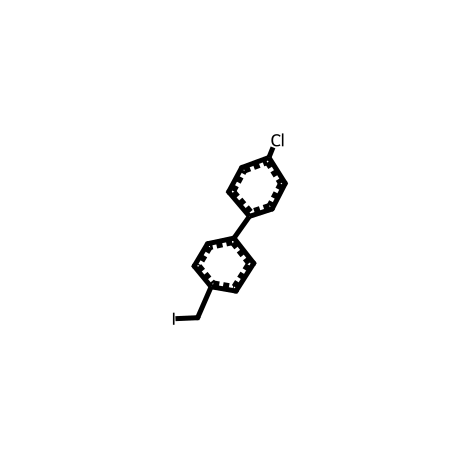 Clc1ccc(-c2ccc(CI)cc2)cc1